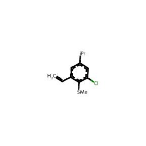 C=Cc1cc(C(C)C)cc(Cl)c1SC